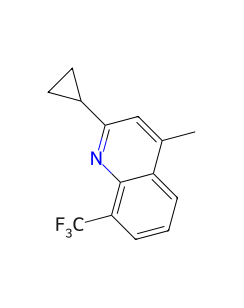 Cc1cc(C2CC2)nc2c(C(F)(F)F)cccc12